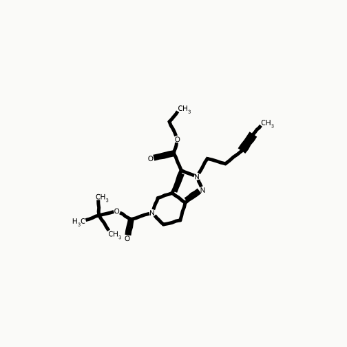 CC#CCCn1nc2c(c1C(=O)OCC)CN(C(=O)OC(C)(C)C)CC2